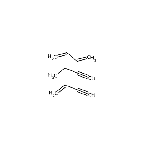 C#CC=C.C#CCC.C=CC=C